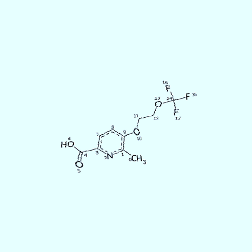 Cc1nc(C(=O)O)ccc1OCCOC(F)(F)F